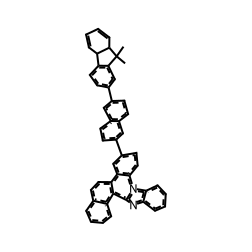 CC1(C)c2cc(-c3ccc4cc(-c5ccc6c(c5)c5ccc7ccccc7c5c5nc7ccccc7n65)ccc4c3)ccc2C2C=CC=CC21